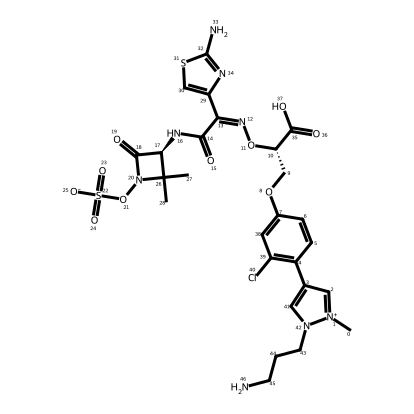 C[n+]1cc(-c2ccc(OC[C@H](O/N=C(\C(=O)N[C@@H]3C(=O)N(OS(=O)(=O)[O-])C3(C)C)c3csc(N)n3)C(=O)O)cc2Cl)cn1CCCN